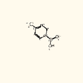 OB(O)N1C=CC(C(F)(F)F)=NC1